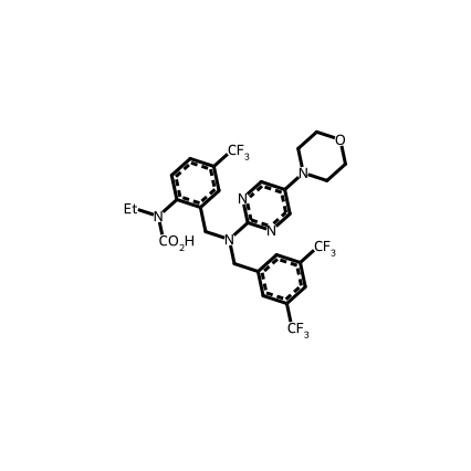 CCN(C(=O)O)c1ccc(C(F)(F)F)cc1CN(Cc1cc(C(F)(F)F)cc(C(F)(F)F)c1)c1ncc(N2CCOCC2)cn1